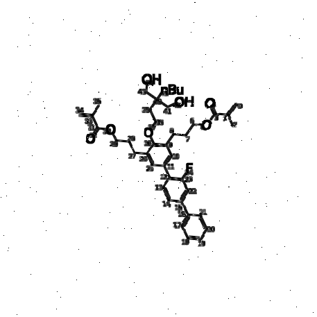 C=C(C)C(=O)OCCCc1cc(-c2ccc(-c3ccccc3)cc2F)cc(CCCOC(=O)C(=C)C)c1OCCC(CO)(CO)CCCC